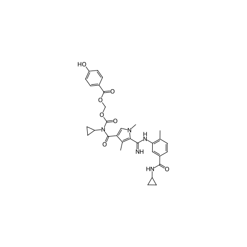 Cc1ccc(C(=O)NC2CC2)cc1NC(=N)c1c(C)c(C(=O)N(C(=O)OCOC(=O)c2ccc(O)cc2)C2CC2)cn1C